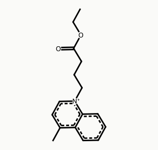 CCOC(=O)CCC[n+]1ccc(C)c2ccccc21